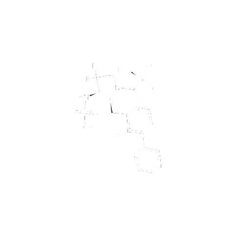 C[C@@](O)(C(=O)N1CC(F)(F)[C@H](NS(C)(=O)=O)[C@@H]1Cc1cccc(-c2ccccc2)c1F)C(F)(F)F